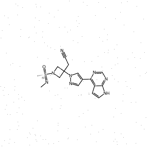 CN=[S@@](C)(=O)N1CC(CC#N)(n2cc(-c3ncnc4[nH]ccc34)cn2)C1